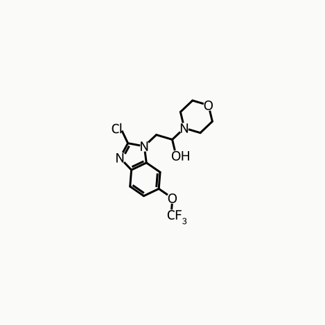 OC(Cn1c(Cl)nc2ccc(OC(F)(F)F)cc21)N1CCOCC1